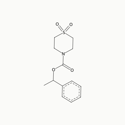 CC(OC(=O)N1CCS(=O)(=O)CC1)c1ccccc1